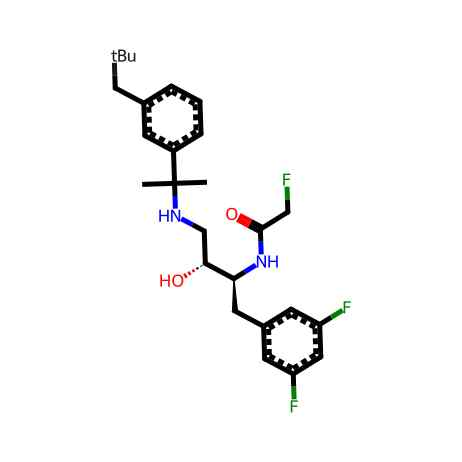 CC(C)(C)Cc1cccc(C(C)(C)NC[C@@H](O)[C@H](Cc2cc(F)cc(F)c2)NC(=O)CF)c1